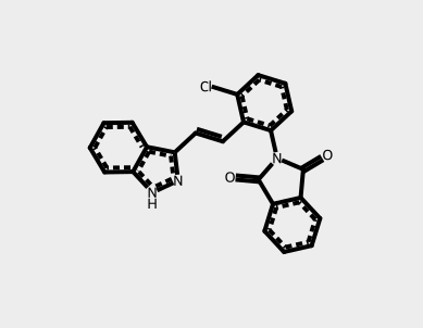 O=C1c2ccccc2C(=O)N1c1cccc(Cl)c1C=Cc1n[nH]c2ccccc12